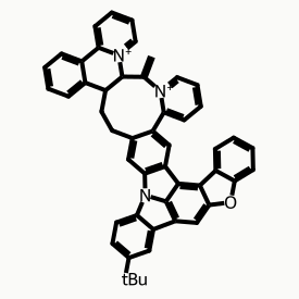 C=C1C2C(CCc3cc4c(cc3-c3cccc[n+]31)c1c3c(cc5c6cc(C(C)(C)C)ccc6n4c51)oc1ccccc13)c1ccccc1-c1cccc[n+]12